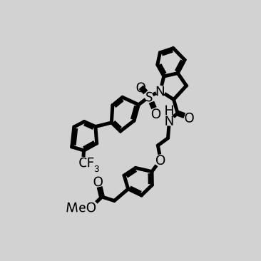 COC(=O)Cc1ccc(OCCNC(=O)C2Cc3ccccc3N2S(=O)(=O)c2ccc(-c3cccc(C(F)(F)F)c3)cc2)cc1